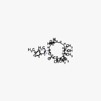 C/C(=C\c1csc(C)n1)[C@@H]1C[C@@H]2O[C@@H]2CCC[C@H](C)[C@H](O)[C@@H](C)C(=O)C(C)(C)[C@@H](C#N)CC(=O)O1